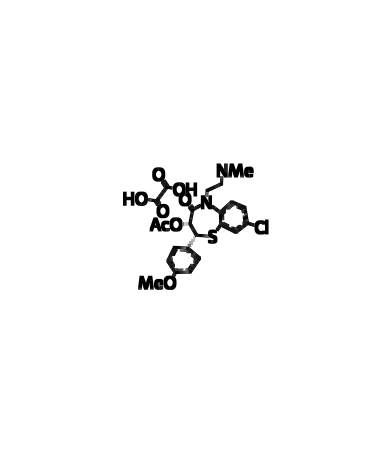 CNCCN1C(=O)[C@@H](OC(C)=O)[C@@H](c2ccc(OC)cc2)Sc2cc(Cl)ccc21.O=C(O)C(=O)O